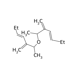 C=C(C=CCC)C(C)OC(C)C(=C)C=CCC